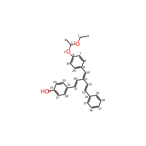 CCOC(C)Oc1ccc(C=C(C=Cc2ccccc2)C=Cc2ccc(O)cc2)cc1